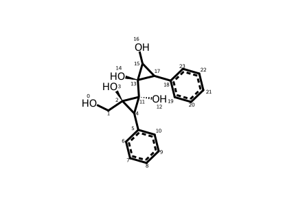 OC[C@@]1(O)C(c2ccccc2)[C@]1(O)[C@]1(O)C(O)C1c1ccccc1